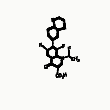 CC(F)n1cc(C(=O)O)c(=O)c2cc(F)c(-c3ccc4ncccc4c3)c(F)c21